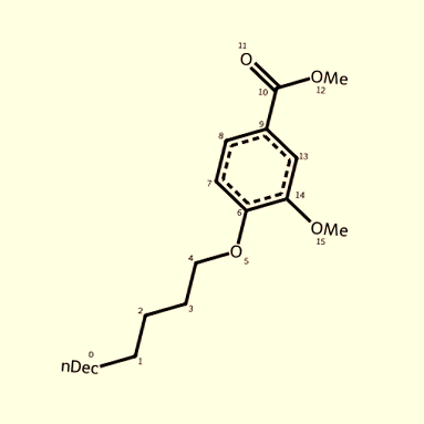 CCCCCCCCCCCCCCOc1ccc(C(=O)OC)cc1OC